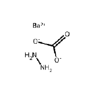 NN.O=C([O-])[O-].[Ba+2]